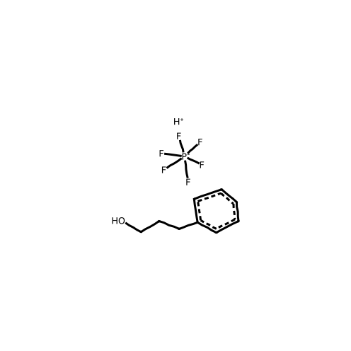 F[P-](F)(F)(F)(F)F.OCCCc1ccccc1.[H+]